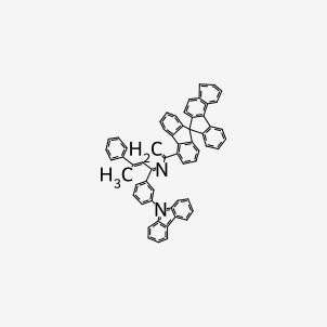 C=C(/N=C(\C=C(/C)c1ccccc1)c1cccc(-n2c3ccccc3c3ccccc32)c1)c1cccc2c1-c1ccccc1C21c2ccccc2-c2c1ccc1ccccc21